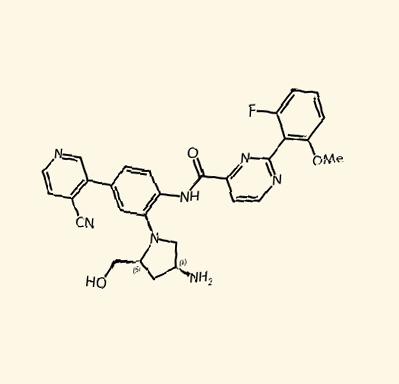 COc1cccc(F)c1-c1nccc(C(=O)Nc2ccc(-c3cnccc3C#N)cc2N2C[C@@H](N)C[C@H]2CO)n1